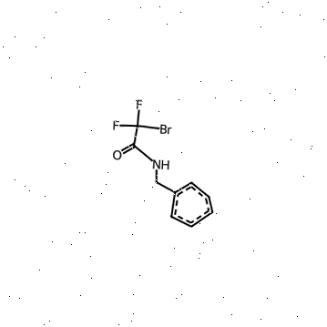 O=C(NCc1ccccc1)C(F)(F)Br